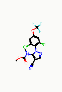 COC(=O)N(C)c1c(C#N)cnn1-c1c(Cl)cc(OC(F)(F)F)cc1Cl